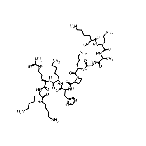 CC(NC(=O)[C@H](CCN)NC(=O)C(N)CCCCN)C(=O)NCC(=O)N[C@H](CCCN)C(=O)N1CCC1C(=O)NC(Cc1cnc[nH]1)C(=O)N[C@@H](CCCCN)C(=O)N/C(=C\CCNC(=N)N)C(=O)N[C@@H](CCCCN)C(=O)NCCCCN